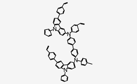 C=Cc1ccc(-c2ccc3c(c2)c2cc(N(c4ccc(C)cc4)c4ccc(-c5ccc(N(c6ccc(C=C)cc6)c6ccc7c(c6)c6cc(-c8ccc(C=C)cc8)ccc6n7-c6ccccc6)cc5)cc4)ccc2n3-c2ccccc2)cc1